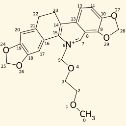 COCCOC[n+]1cc2c3c(ccc2c2c1-c1cc4c(cc1CC2)OCO4)OCO3